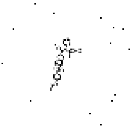 O=CN[C@H](C(=O)N1Cc2cn(S(=O)(=O)c3ccc(OC(F)F)cc3)nc2C1)c1ccccc1